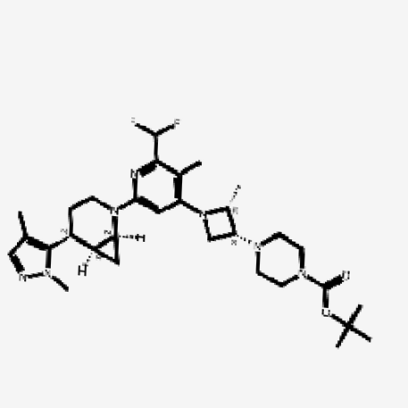 Cc1cnn(C)c1[C@H]1CCN(c2cc(N3C[C@@H](N4CCN(C(=O)OC(C)(C)C)CC4)[C@H]3C)c(C)c(C(F)F)n2)[C@H]2C[C@@H]12